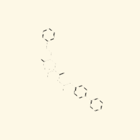 CC(C)COC(=O)[C@@H](CCc1ccccc1)CN(CC(C)C)C(=O)N[C@@H](Cc1ccc(-c2ccccc2)cc1)C(=O)O